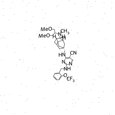 COCC(COC)N(C)[C@@H]1[C@@H]2CC3C[C@H]1C[C@](CNc1nc(NCc4ccccc4OC(F)(F)F)ncc1C#N)(C3)C2